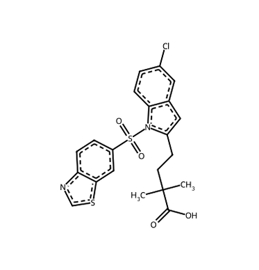 CC(C)(CCc1cc2cc(Cl)ccc2n1S(=O)(=O)c1ccc2ncsc2c1)C(=O)O